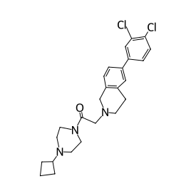 O=C(CN1CCc2cc(-c3ccc(Cl)c(Cl)c3)ccc2C1)N1CCN(C2CCC2)CC1